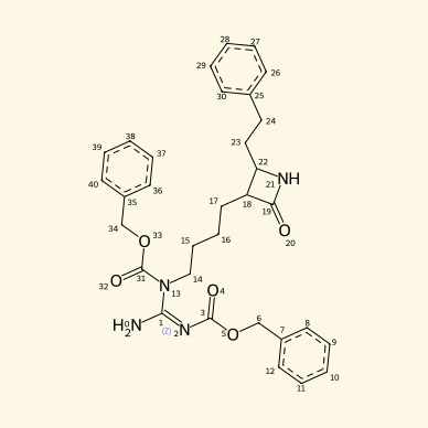 N/C(=N/C(=O)OCc1ccccc1)N(CCCCC1C(=O)NC1CCc1ccccc1)C(=O)OCc1ccccc1